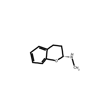 CN[C@H]1CCc2ccccc2O1